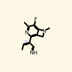 C/C=C(\C=N)c1nc(C)c(F)c2c1CN2C